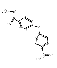 COC(=O)c1ccc(Cc2ccc([N+](=O)[O-])cc2)cn1